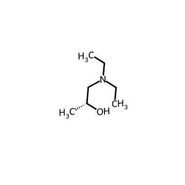 CCN(CC)C[C@@H](C)O